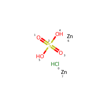 Cl.O=S(=O)(O)O.[Zn].[Zn]